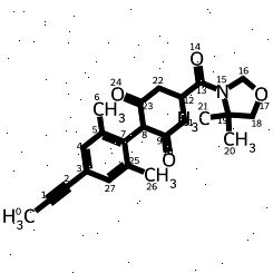 CC#Cc1cc(C)c(C2C(=O)CC(C(=O)N3COCC3(C)C)CC2=O)c(C)c1